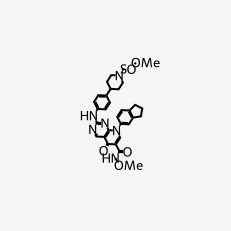 CONC(=O)c1cn(-c2ccc3c(c2)CCC3)c2nc(Nc3ccc(C4CCN(SOOC)CC4)cc3)ncc2c1=O